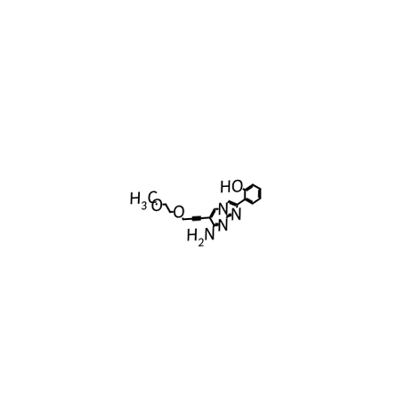 COCCOCC#Cc1cn2cc(-c3ccccc3O)nc2nc1N